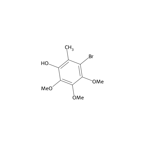 COc1c(O)c(C)c(Br)c(OC)c1OC